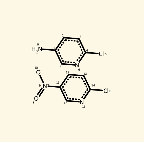 Nc1ccc(Cl)nc1.O=[N+]([O-])c1ccc(Cl)nc1